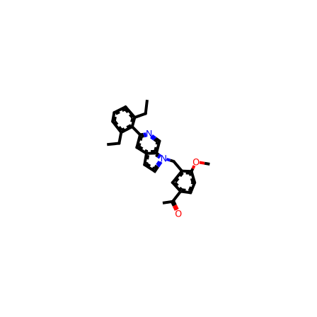 CCc1cccc(CC)c1-c1cc2ccn(Cc3cc(C(C)=O)ccc3OC)c2cn1